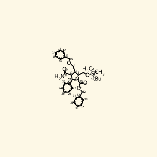 CC(C)(C)[Si](C)(C)OCC1C(COCc2ccccc2)C(C(N)=O)C(c2ccccc2)N1C(=O)OCc1ccccc1